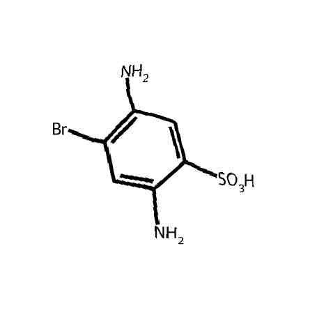 Nc1cc(S(=O)(=O)O)c(N)cc1Br